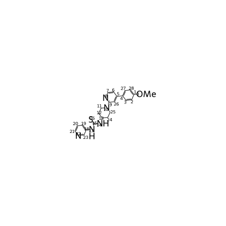 COc1ccc(-c2ccnc(N3CCC(NC(=S)Nc4cccnc4)CC3)c2)cc1